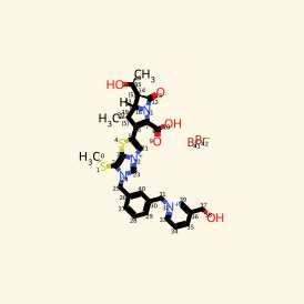 CSc1c2sc(C3=C(C(=O)O)N4C(=O)[C@H]([C@@H](C)O)[C@H]4[C@H]3C)c[n+]2cn1Cc1cccc(C[n+]2cccc(CO)c2)c1.[Br-].[Br-]